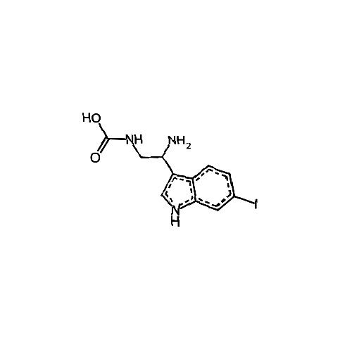 NC(CNC(=O)O)c1c[nH]c2cc(I)ccc12